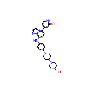 O=c1cc(-c2ccc(Nc3ccc(N4CCC(N5CCC(O)CC5)CC4)cc3)c3nccn23)cc[nH]1